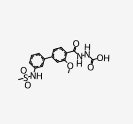 COc1cc(-c2cccc(NS(C)(=O)=O)c2)ccc1C(=O)NNC(=O)O